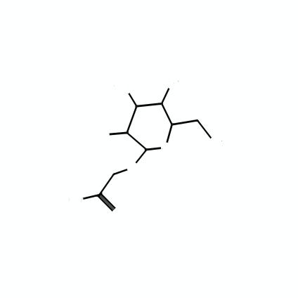 CC(=O)OCC1OC(OCC(=O)C(C)(C)C)C(C)C(OC(C)=O)C1OC(C)=O